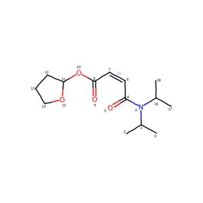 CC(C)N(C(=O)/C=C\C(=O)OC1CCCO1)C(C)C